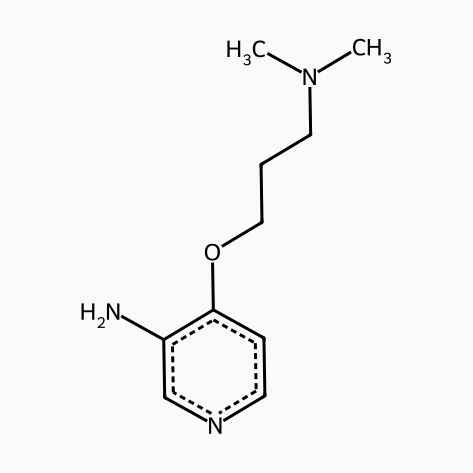 CN(C)CCCOc1ccncc1N